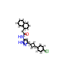 O=C(Cc1cccc2ccccc12)Nc1cc(C2CC(c3ccc(Cl)cc3)C2)n[nH]1